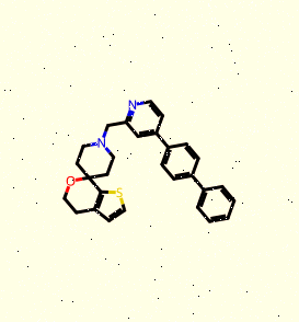 c1ccc(-c2ccc(-c3ccnc(CN4CCC5(CC4)OCCc4ccsc45)c3)cc2)cc1